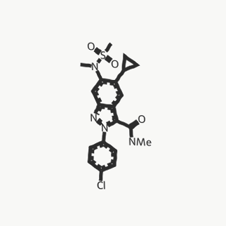 CNC(=O)c1c2cc(C3CC3)c(N(C)S(C)(=O)=O)cc2nn1-c1ccc(Cl)cc1